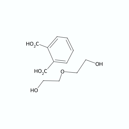 O=C(O)c1ccccc1C(=O)O.OCCOCCO